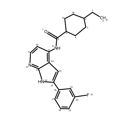 CCC1CCC(C(=O)Nc2ccnc3[nH]c(-c4cccc(F)c4)cc23)CC1